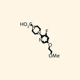 COCCOc1cnc(N2CCN(C(=O)O)CC2)c(F)c1